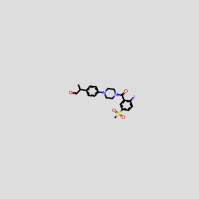 CC(C=O)c1ccc(N2CCN(C(=O)c3cc(S(C)(=O)=O)ccc3I)CC2)cc1